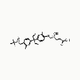 CCC(CC)(c1ccc(C[S+]([O-])C(C)(C)C)c(C)c1)c1ccc(OC[C@@H](O)CCC(=O)O)c(C)c1